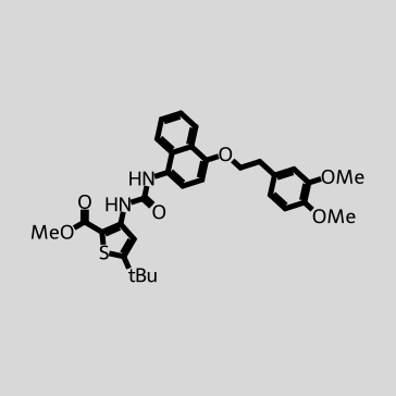 COC(=O)c1sc(C(C)(C)C)cc1NC(=O)Nc1ccc(OCCc2ccc(OC)c(OC)c2)c2ccccc12